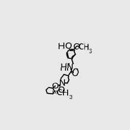 COc1cc(CNC(=O)C2CCN(C(=O)OC3CCCC[C@@H]3C)CC2)ccc1O